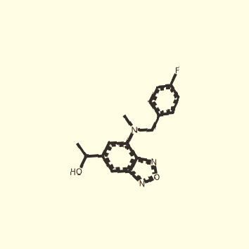 CC(O)c1cc(N(C)Cc2ccc(F)cc2)c2nonc2c1